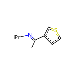 C/C(=N\C(C)C)c1ccsc1